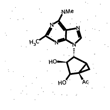 CNc1nc(C)nc2c1ncn2[C@@H]1C2C[C@]2(C(C)=O)C(O)[C@H]1O